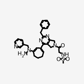 CS(=O)(=O)NCC(=O)N1Cc2nc(Cc3ccccc3)nc(C3=CCCCC(N(N)Cc4cccnc4)=C3)c2C1